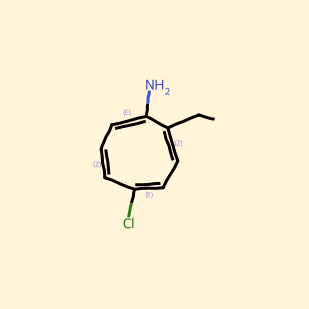 CCC1=C/C=C(Cl)\C=C/C=C\1N